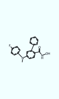 CN(c1ccc(F)cc1)c1ccc(C(=O)NO)c(-c2ccccc2)c1